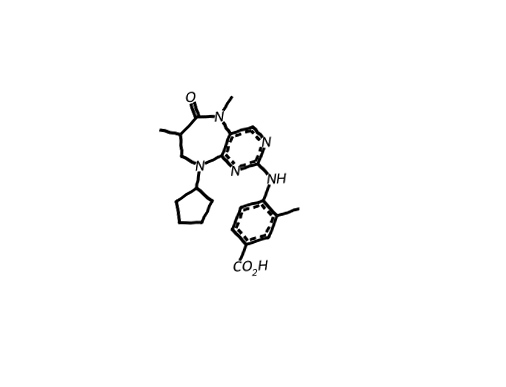 Cc1cc(C(=O)O)ccc1Nc1ncc2c(n1)N(C1CCCC1)CC(C)C(=O)N2C